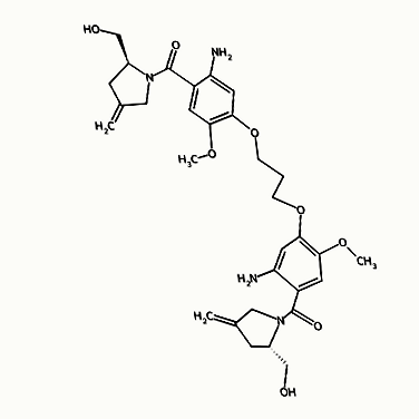 C=C1C[C@@H](CO)N(C(=O)c2cc(OC)c(OCCCOc3cc(N)c(C(=O)N4CC(=C)C[C@H]4CO)cc3OC)cc2N)C1